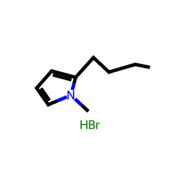 Br.CCCCc1cccn1C